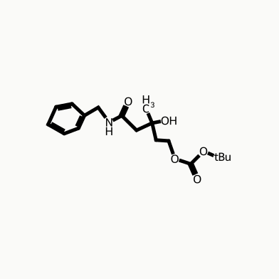 CC(O)(CCOC(=O)OC(C)(C)C)CC(=O)NCc1ccccc1